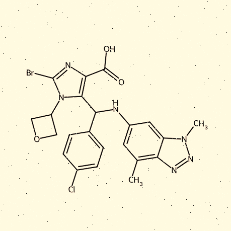 Cc1cc(NC(c2ccc(Cl)cc2)c2c(C(=O)O)nc(Br)n2C2COC2)cc2c1nnn2C